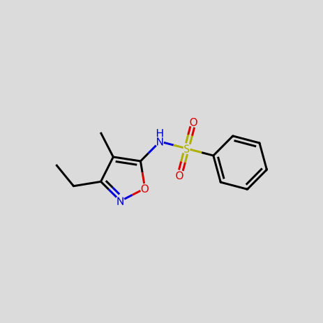 CCc1noc(NS(=O)(=O)c2ccccc2)c1C